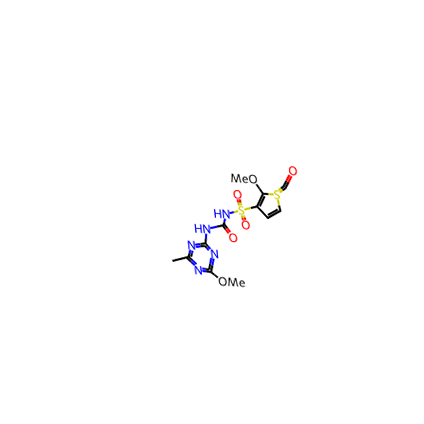 COC1=C(S(=O)(=O)NC(=O)Nc2nc(C)nc(OC)n2)C=CS1=C=O